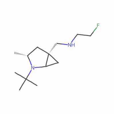 C[C@@H]1C[C@@]2(CNCCF)CC2N1C(C)(C)C